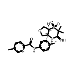 Cc1ccc(C(=O)Nc2ccc(F)c([C@]34COC[C@H]3S(=O)(=O)C(C)(C)C(=N)N4)c2)nc1